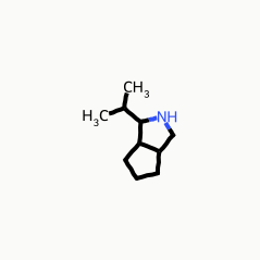 CC(C)C1NCC2CCCC21